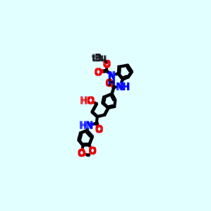 CC(C)(C)OC(=O)Nc1ccccc1NC(=O)c1ccc(CC(CCO)C(=O)Nc2ccc3c(c2)OCO3)cc1